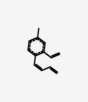 C=C/C=C\c1ccc(C)cc1C=C